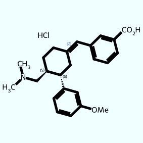 COc1cccc([C@H]2C/C(=C\c3cccc(C(=O)O)c3)CC[C@@H]2CN(C)C)c1.Cl